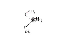 CCCCC/C=C\C/C=C\CCCCCCCCC1(CCCCCCCC/C=C\C/C=C\CCCCC)O[C@@H]2C3CC(C[C@@H]3N(C)C)[C@@H]2O1